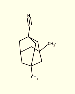 [CH2]C12CC3CC(C)(C1)CC(C#N)(C3)C2